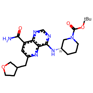 CC(C)(C)OC(=O)N1CCC[C@H](Nc2ncnc3c(C(N)=O)cc(CC4CCOC4)nc23)C1